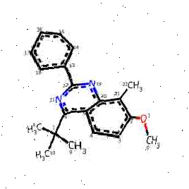 COc1ccc2c(C(C)(C)C)nc(-c3ccccc3)nc2c1C